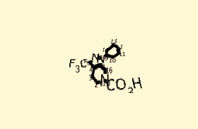 O=C(O)N1CCc2c(C(F)(F)F)nn(-c3ccccc3)c2C1